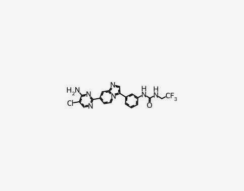 Nc1nc(-c2ccn3c(-c4cccc(NC(=O)NCC(F)(F)F)c4)cnc3c2)ncc1Cl